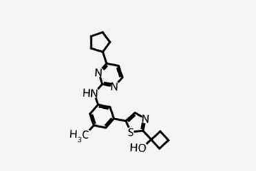 Cc1cc(Nc2nccc(C3CCCC3)n2)cc(-c2cnc(C3(O)CCC3)s2)c1